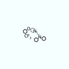 FC(F)(F)c1cccc(OC2CCN(CCCN(c3ccccc3)c3ccccc3)CC2)c1